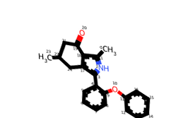 Cc1[nH]c(-c2ccccc2Oc2ccccc2)c2c1C(=O)CC(C)C2